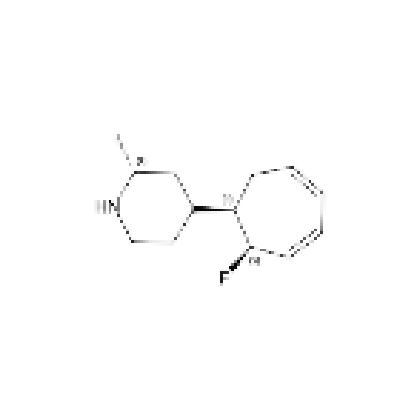 C[C@@H]1CC([C@H]2CC=CC=C[C@H]2F)CCN1